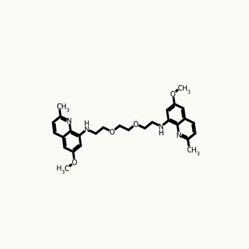 COc1cc(NCCOCCOCCNc2cc(OC)cc3ccc(C)nc23)c2nc(C)ccc2c1